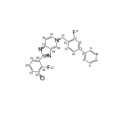 Fc1cc(-c2ccccc2)ccc1Cn1ccc2nc(-c3cccc(Cl)c3F)nc-2c1